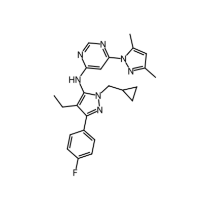 CCc1c(-c2ccc(F)cc2)nn(CC2CC2)c1Nc1cc(-n2nc(C)cc2C)ncn1